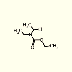 CCOC(=O)N(CC)C(C)Cl